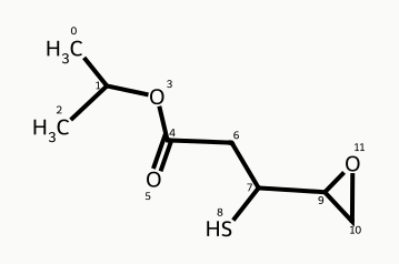 CC(C)OC(=O)CC(S)C1CO1